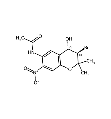 CC(=O)Nc1cc2c(cc1[N+](=O)[O-])OC(C)(C)[C@H](Br)[C@H]2O